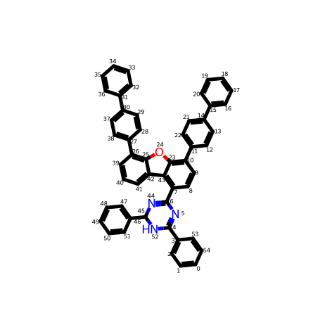 c1ccc(C2=NC(c3ccc(-c4ccc(-c5ccccc5)cc4)c4oc5c(-c6ccc(-c7ccccc7)cc6)cccc5c34)=NC(c3ccccc3)N2)cc1